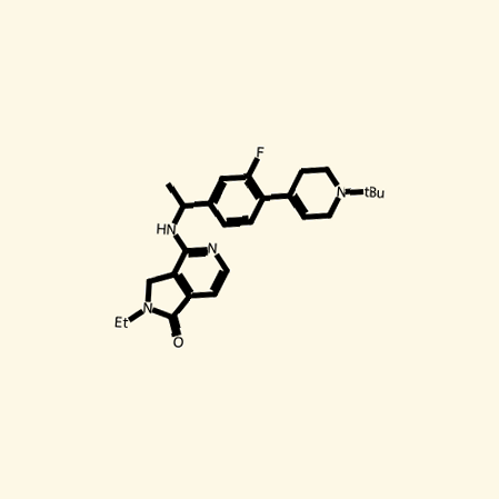 CCN1Cc2c(ccnc2NC(C)c2ccc(C3=CCN(C(C)(C)C)CC3)c(F)c2)C1=O